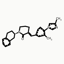 Cc1cn(-c2ccc(/C=C3\CCCN([C@@H]4CCc5ccccc5C4)C3=O)cc2C)cn1